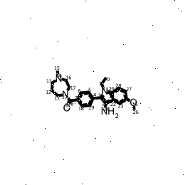 CCn1c(-c2ccc(C(=O)N3CCCN(C)CC3)cc2)c(N)c2cc(OC)ccc21